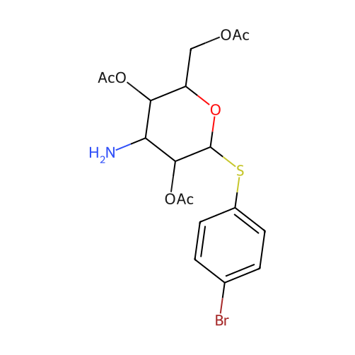 CC(=O)OCC1OC(Sc2ccc(Br)cc2)C(OC(C)=O)C(N)C1OC(C)=O